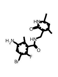 Cc1cc(C)c(CNC(=O)c2c(C)c(N)cc(Br)c2F)c(=O)[nH]1